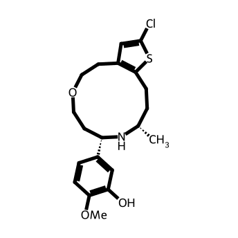 COc1ccc([C@@H]2CCOCCc3cc(Cl)sc3CC[C@H](C)N2)cc1O